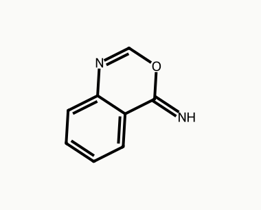 N=c1ocnc2ccccc12